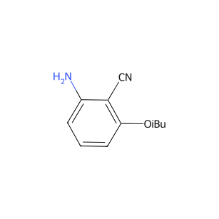 CC(C)COc1cccc(N)c1C#N